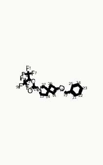 O=C(OC(C(F)(F)F)C(F)(F)F)N1CCC2(CC(OCc3ccccc3)C2)C1